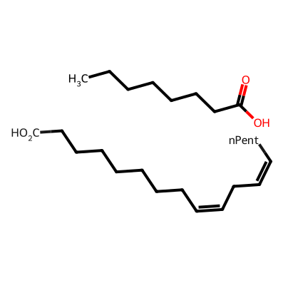 CCCCC/C=C\C/C=C\CCCCCCCC(=O)O.CCCCCCCC(=O)O